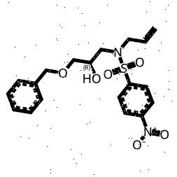 C=CCN(C[C@@H](O)COCc1ccccc1)S(=O)(=O)c1ccc([N+](=O)[O-])cc1